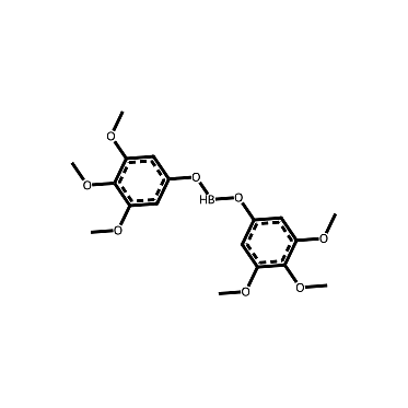 COc1cc(OBOc2cc(OC)c(OC)c(OC)c2)cc(OC)c1OC